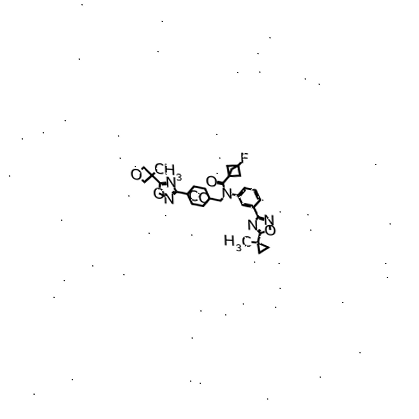 CC1(c2nc(-c3cccc(N(CC45CCC(c6noc(C7(C)COC7)n6)(CC4)CC5)C(=O)C45CC(F)(C4)C5)c3)no2)CC1